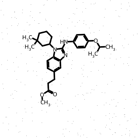 COC(=O)CCc1ccc2c(c1)nc(Nc1ccc(OC(C)C)cc1)n2C1CCCC(C)(C)C1